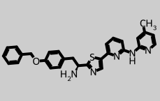 Cc1ccnc(Nc2cccc(-c3cnc([C@@H](N)Cc4ccc(OCc5ccccc5)cc4)s3)n2)c1